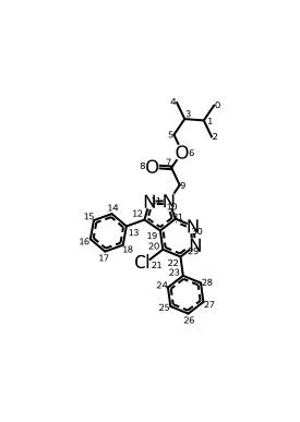 CC(C)C(C)COC(=O)Cn1nc(-c2ccccc2)c2c(Cl)c(-c3ccccc3)nnc21